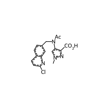 CC(=O)N(Cc1ccc2ccc(Cl)nc2c1)c1cn(C)nc1C(=O)O